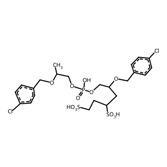 CC(COP(=O)(O)OCC(CC(CCS(=O)(=O)O)S(=O)(=O)O)OCc1ccc(Cl)cc1)OCc1ccc(Cl)cc1